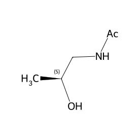 CC(=O)NC[C@H](C)O